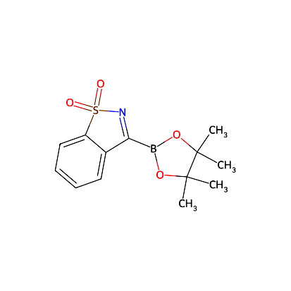 CC1(C)OB(C2=NS(=O)(=O)c3ccccc32)OC1(C)C